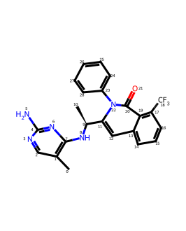 Cc1cnc(N)nc1N[C@@H](C)c1cc2cccc(C(F)(F)F)c2c(=O)n1-c1ccccc1